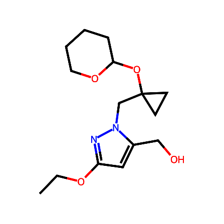 CCOc1cc(CO)n(CC2(OC3CCCCO3)CC2)n1